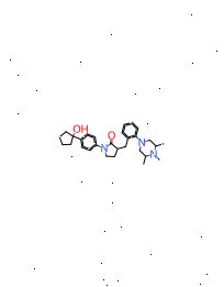 CC1CN(c2ccccc2CC2CCN(c3ccc(C4(O)CCCC4)cc3)C2=O)CC(C)N1C